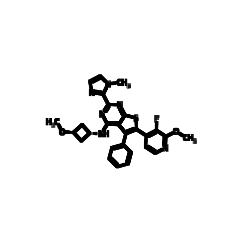 COc1nccc(-c2sc3nc(-c4nccn4C)nc(N[C@H]4C[C@H](OC)C4)c3c2-c2ccccc2)c1F